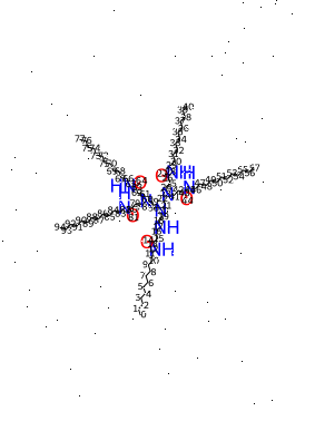 CCCCCCCCCCCCNC(=O)CCNCCN(CCN(CCC(=O)NCCCCCCCCCCCC)CCC(=O)NCCCCCCCCCCCC)CCN(CCC(=O)NCCCCCCCCCCCC)CCC(=O)NCCCCCCCCCCCC